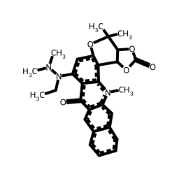 CCN(c1cc2c(c3c1c(=O)c1cc4ccccc4cc1n3C)C1OC(=O)OC1C(C)(C)O2)N(C)C